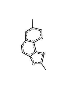 Cc1cnc2c(ccc3oc(C)nc32)c1